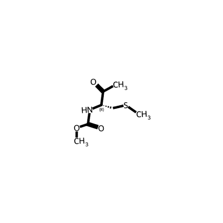 COC(=O)N[C@@H](CSC)C(C)=O